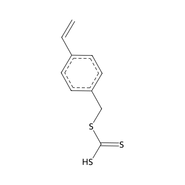 C=Cc1ccc(CSC(=S)S)cc1